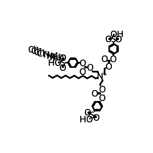 CCCCCCCCCCCC[N+](CCOC(=O)Oc1ccc(S(=O)(=O)O)cc1)(CCOC(=O)Oc1ccc(S(=O)(=O)O)cc1)CCOC(=O)Oc1ccc(S(=O)(=O)O)cc1.[Cl-].[Cl-].[Cl-].[Cl-].[Na+].[Na+].[Na+]